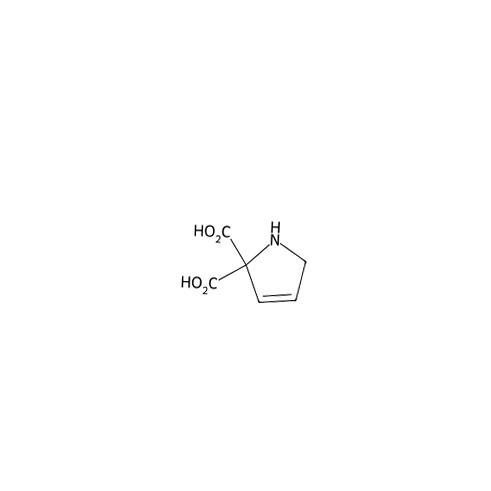 O=C(O)C1(C(=O)O)C=CCN1